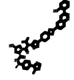 Cc1ncsc1-c1ccc([C@H](C)NC(=O)[C@@H]2C[C@@H](O)CN2C(=O)C(c2cc(N3CCC4(CC3)CC(c3ccc5nnc(-c6ccccc6O)cc5c3)C4)no2)C(C)C)cc1